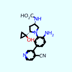 N#Cc1ccncc1-c1ccc(N)c(N2C[C@@H](NC(=O)O)C[C@H]2C2(O)CC2)c1